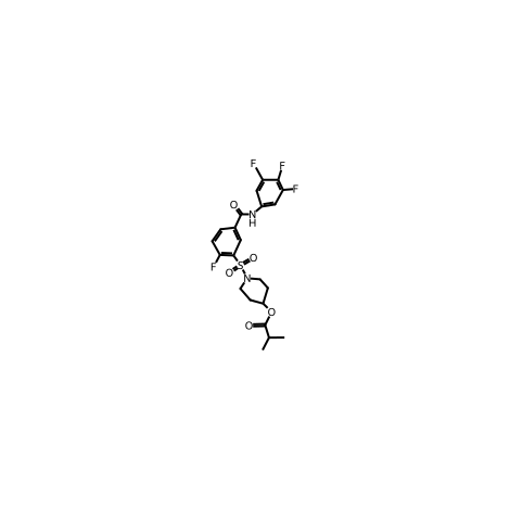 CC(C)C(=O)OC1CCN(S(=O)(=O)c2cc(C(=O)Nc3cc(F)c(F)c(F)c3)ccc2F)CC1